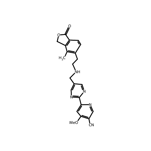 COc1cc(-c2ncc(CNCCc3ccc4c(c3C)COC4=O)cn2)ncc1C#N